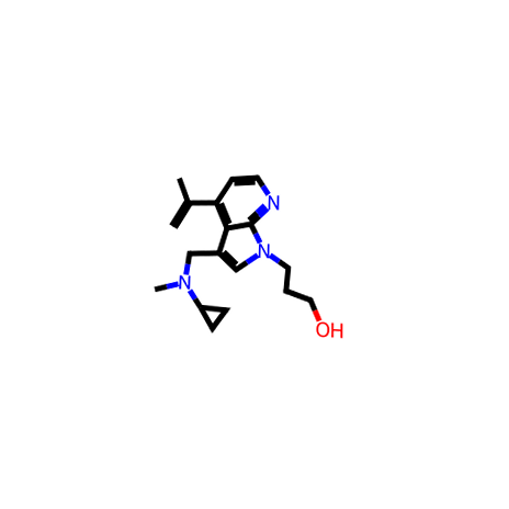 C=C(C)c1ccnc2c1c(CN(C)C1CC1)cn2CCCO